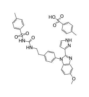 COc1ccc2c(c1)nc(-c1cc[nH]n1)n2-c1ccc(CCNC(=O)NS(=O)(=O)c2ccc(C)cc2)cc1.Cc1ccc(S(=O)(=O)O)cc1